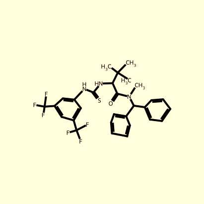 CN(C(=O)C(NC(=S)Nc1cc(C(F)(F)F)cc(C(F)(F)F)c1)C(C)(C)C)C(c1ccccc1)c1ccccc1